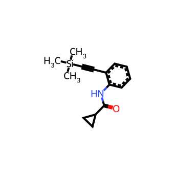 C[Si](C)(C)C#Cc1ccccc1NC(=O)C1CC1